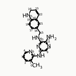 Cc1cccnc1Nc1cnc(N)c(NCc2ccc3c(c2)C=CCN3)n1